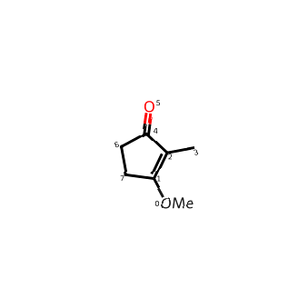 COC1=C(C)C(=O)CC1